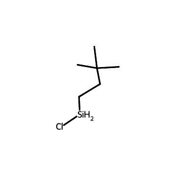 CC(C)(C)CC[SiH2]Cl